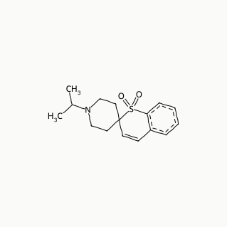 CC(C)N1CCC2(C=Cc3ccccc3S2(=O)=O)CC1